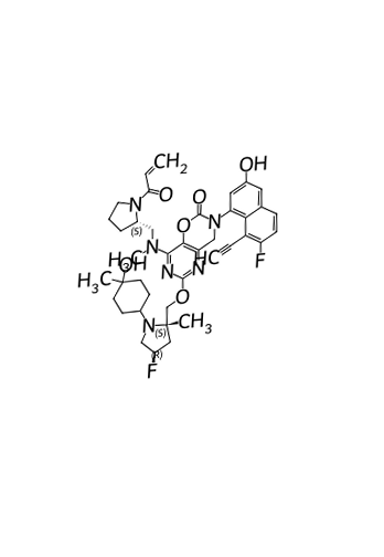 C#Cc1c(F)ccc2cc(O)cc(N3Cc4nc(OC[C@]5(C)C[C@@H](F)CN5C5CCC(C)(O)CC5)nc(N(C)C[C@@H]5CCCN5C(=O)C=C)c4OC3=O)c12